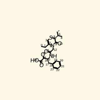 CCC1=CS[C@@H](C(C)C)C(=O)N1CC(=O)N[C@@H](Cc1ccccc1)C(=O)C(=O)O